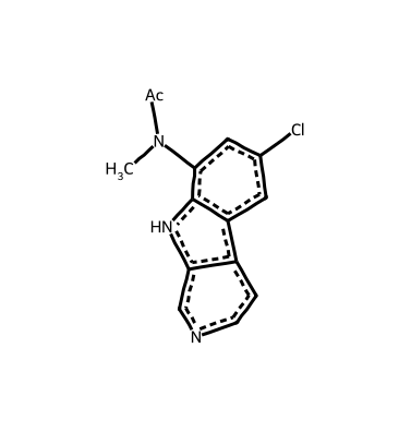 CC(=O)N(C)c1cc(Cl)cc2c1[nH]c1cnccc12